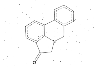 O=C1CN2Cc3ccccc3-c3cccc1c32